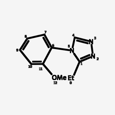 CCc1nncn1-c1ccccc1OC